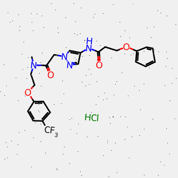 CN(CCOc1ccc(C(F)(F)F)cc1)C(=O)Cn1cc(NC(=O)CCOc2ccccc2)cn1.Cl